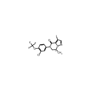 C[C@H]1CN(c2ccc(OC(F)(F)F)c(Cl)c2)C(=O)c2c(I)cnn21